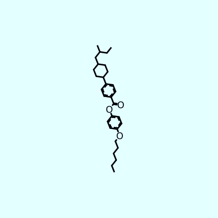 CCCCCCOc1ccc(OC(=O)c2ccc(C3CCC(CC(C)CC)CC3)cc2)cc1